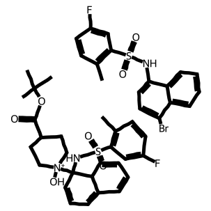 Cc1ccc(F)cc1S(=O)(=O)NC1([N+]2(O)CCC(C(=O)OC(C)(C)C)CC2)C=CC=C2C=CC=CC21.Cc1ccc(F)cc1S(=O)(=O)Nc1ccc(Br)c2ccccc12